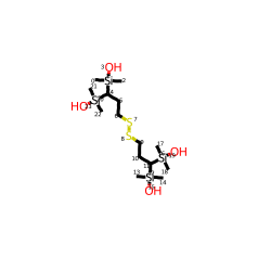 C[Si](C)(O)C(CCSSCCC([Si](C)(C)O)[Si](C)(C)O)[Si](C)(C)O